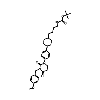 COc1ccc(CN2C(=O)CCN(c3ccc(N4CCC(CCCCNC(=O)OC(C)(C)C)CC4)cc3)C2=O)cc1